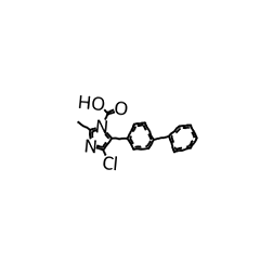 Cc1nc(Cl)c(-c2ccc(-c3ccccc3)cc2)n1C(=O)O